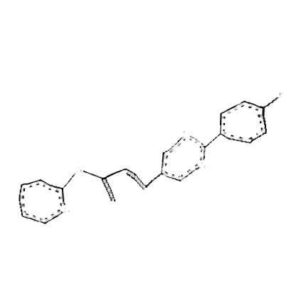 O=C(/C=C/c1cnc(-c2ccc(F)cc2)nc1)Nc1ccccn1